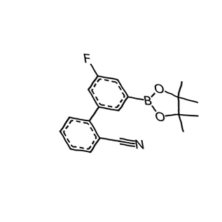 CC1(C)OB(c2cc(F)cc(-c3ccccc3C#N)c2)OC1(C)C